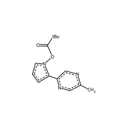 Cc1cnc(-c2cccn2OC(=O)C(C)(C)C)cn1